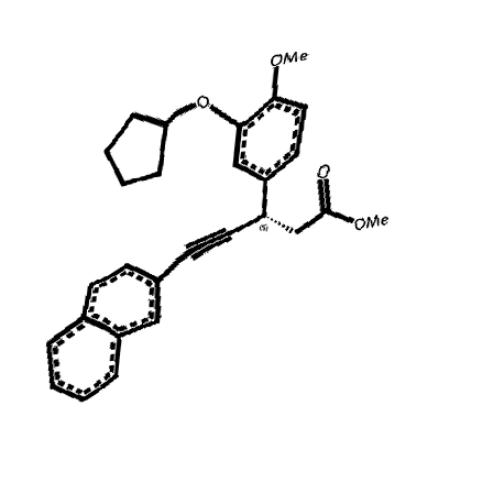 COC(=O)C[C@H](C#Cc1ccc2ccccc2c1)c1ccc(OC)c(OC2CCCC2)c1